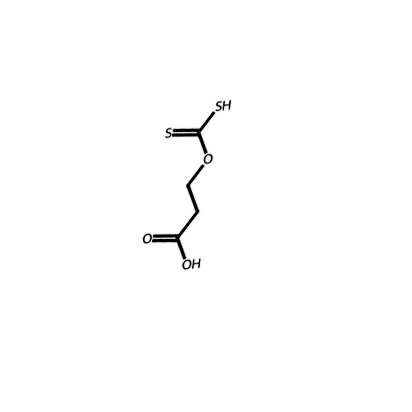 O=C(O)CCOC(=S)S